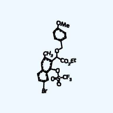 CCOC(=O)C(OCc1ccc(OC)cc1)c1c(C)cc2ccc(Br)cc2c1OS(=O)(=O)C(F)(F)F